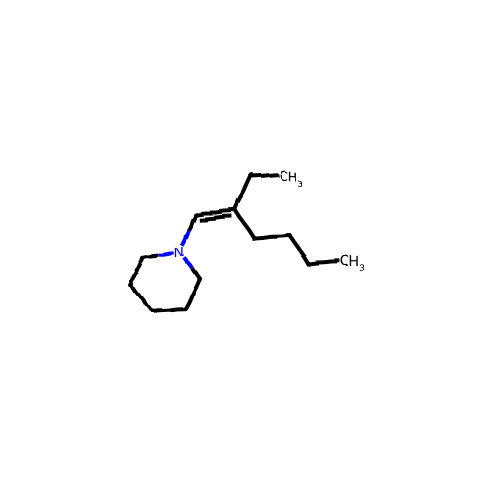 CCCCC(=CN1CCCCC1)CC